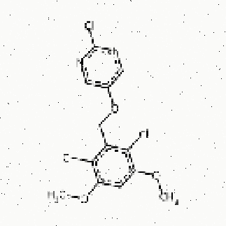 COc1cc(OC)c(Cl)c(COc2cnc(Cl)nc2)c1Cl